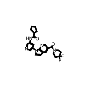 O=C(Nc1cncc(-n2ccc3cc(C(=O)N4CCC(F)(F)CC4)cnc32)c1)C1CCCC1